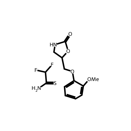 COc1ccccc1OCC1CNC(=O)O1.NC(=S)C(F)F